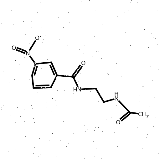 CC(=O)NCCNC(=O)c1cccc([N+](=O)[O-])c1